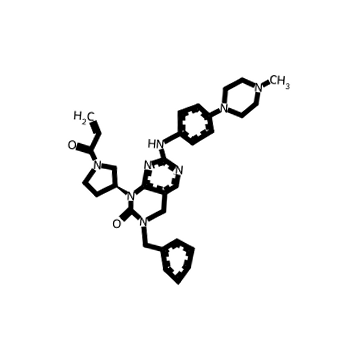 C=CC(=O)N1CC[C@H](N2C(=O)N(Cc3ccccc3)Cc3cnc(Nc4ccc(N5CCN(C)CC5)cc4)nc32)C1